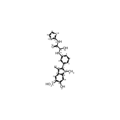 Cn1c(-c2cccc(NC(O)C(=O)Nc3nccs3)c2)c(I)c2cc(C(=O)O)c(O)cc21